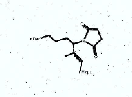 CCCCCCCC=C(C)C(CCCCCCCCCCCCC)N1C(=O)CCC1=O